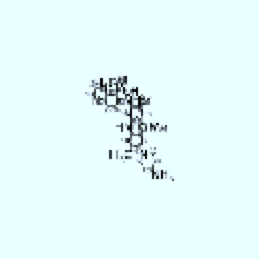 COc1cc(N2CCC(N)CC2)c(C)cc1Nc1ncc(Br)c(Nc2ccc3nccnc3c2P(C)(C)=O)n1